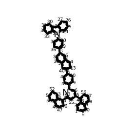 c1ccc2c(-c3cc(-c4ccc(-c5ccc6cc(-c7ccc(-n8c9ccccc9c9ccccc98)cc7)ccc6c5)cc4)nc(-c4cccc5ccccc45)c3)cccc2c1